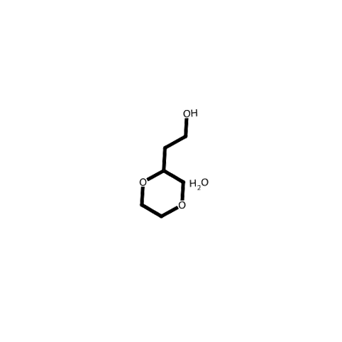 O.OCCC1COCCO1